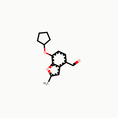 Cc1cc2c(C=O)ccc(OC3CCCC3)c2o1